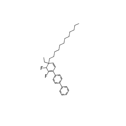 CCCCCCCCCCCCC1(CC)C=CC(c2ccc(-c3ccccc3)cc2)=C(F)C1F